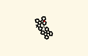 CC1(C)c2cccc(N(c3ccccc3)c3ccc4c(c3)C3(c5ccccc5-c5ccccc53)c3ccccc3-4)c2-c2cc(-c3ccccc3)c3ccccc3c21